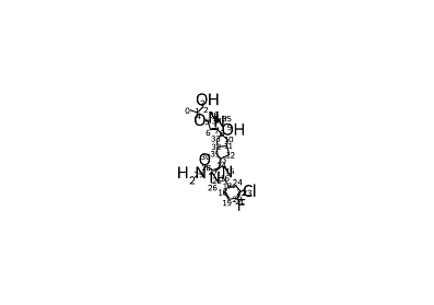 CC(CO)Oc1cc(C2(O)CC3CC(c4nc(-c5ccc(F)c(Cl)c5)n(C)c4C(N)=O)CC3C2)n(C)n1